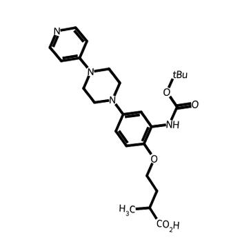 CC(CCOc1ccc(N2CCN(c3ccncc3)CC2)cc1NC(=O)OC(C)(C)C)C(=O)O